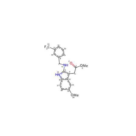 COC(=O)Cc1c(NCc2cccc(C(F)(F)F)c2)[nH]c2ccc(OC)cc12